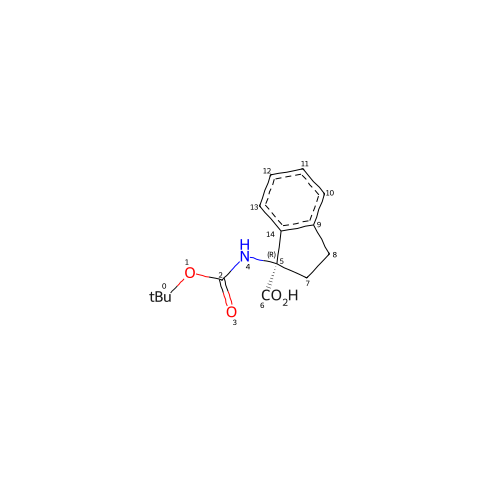 CC(C)(C)OC(=O)N[C@]1(C(=O)O)CCc2ccccc21